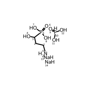 NCCC(O)P(=O)(O)O.O=[PH](O)O.[NaH].[NaH]